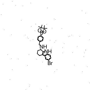 CC1(C)OB(c2ccc(CNC3CCCc4c3[nH]c3ccc(Br)cc43)cc2)OC1(C)C